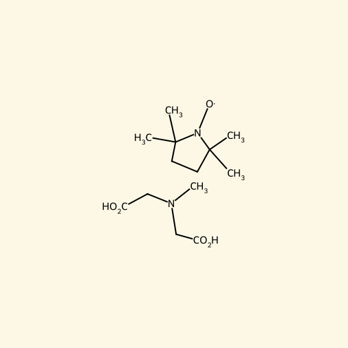 CC1(C)CCC(C)(C)N1[O].CN(CC(=O)O)CC(=O)O